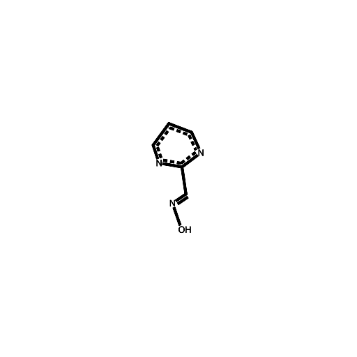 O/N=C/c1ncccn1